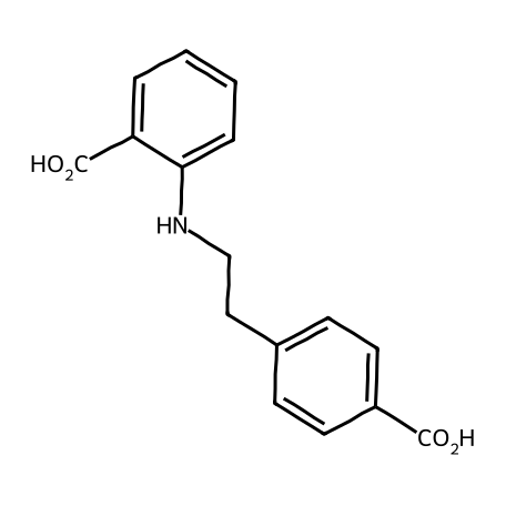 O=C(O)c1ccc(CCNc2ccccc2C(=O)O)cc1